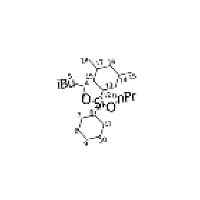 CCCO[Si](OCC(C)CC)(C1CCCCC1)C1CC(C)CC(C)C1